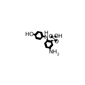 Nc1ccc(Nc2ccc(O)cc2)c(S(=O)(=O)O)c1